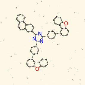 c1ccc2c(c1)ccc1cc(-c3nc(-c4ccc(-c5cccc6oc7ccccc7c56)cc4)nc(-c4ccc(-c5cccc6oc7ccccc7c56)cc4)n3)ccc12